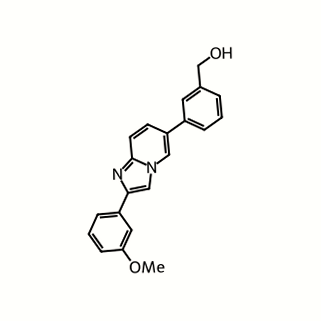 COc1cccc(-c2cn3cc(-c4cccc(CO)c4)ccc3n2)c1